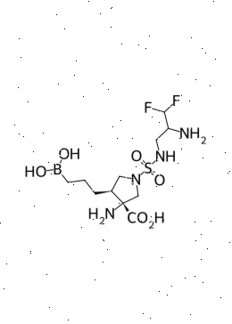 NC(CNS(=O)(=O)N1C[C@H](CCCB(O)O)[C@](N)(C(=O)O)C1)C(F)F